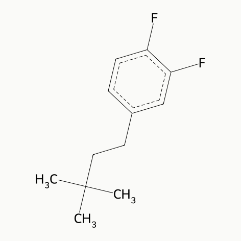 CC(C)(C)CCc1ccc(F)c(F)c1